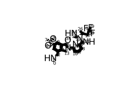 CNCc1cc(S(C)(=O)=O)cc2c1CN(c1cccc(C(=N)N(C=N)C(C)CC(F)(F)F)n1)C2=O